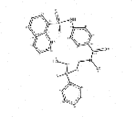 CCN(CCC(C)(CO)c1ccccc1)C(=O)c1ccc(NS(=O)(=O)c2cccc3cccnc23)cc1